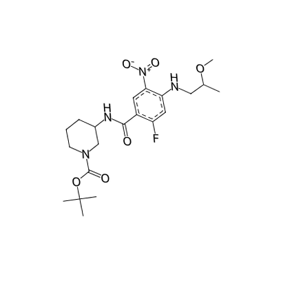 COC(C)CNc1cc(F)c(C(=O)NC2CCCN(C(=O)OC(C)(C)C)C2)cc1[N+](=O)[O-]